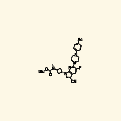 CC(=O)c1ccc(N2CCN(c3nc4c(cc3F)c(C#N)cn4[C@H]3C[C@H](N(C)C(=O)OC(C)(C)C)C3)CC2)cc1